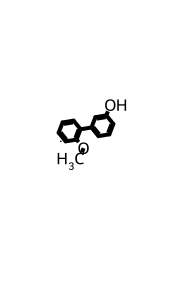 COc1[c]cccc1-c1cccc(O)c1